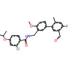 COc1ccc(-c2cc(C=O)c(F)cc2C)cc1CNC(=O)c1ccc(OC(C)C)cc1Cl